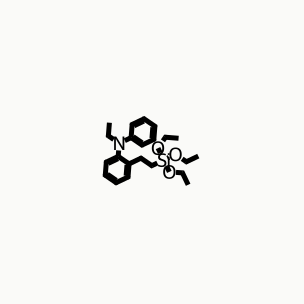 CCO[Si](CCc1ccccc1N(CC)c1ccccc1)(OCC)OCC